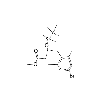 COC(=O)CC(Cc1c(C)cc(Br)cc1C)O[Si](C)(C)C(C)(C)C